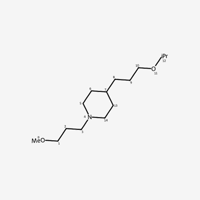 COCCCN1CCC(CCCOC(C)C)CC1